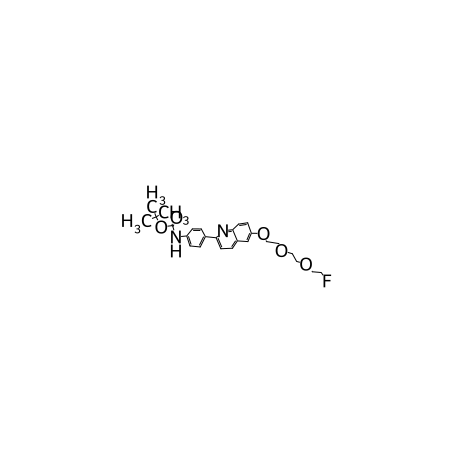 CC(C)(C)OC(=O)Nc1ccc(-c2ccc3cc(OCCOCCOCCF)ccc3n2)cc1